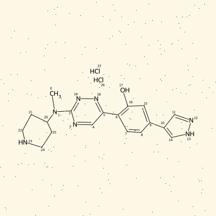 CN(c1ncc(-c2ccc(-c3cn[nH]c3)cc2O)nn1)C1CCNCC1.Cl.Cl